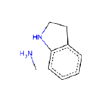 CN.c1ccc2c(c1)CCN2